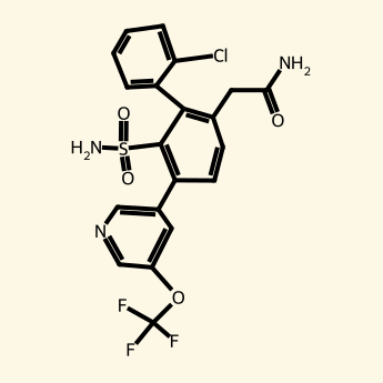 NC(=O)Cc1ccc(-c2cncc(OC(F)(F)F)c2)c(S(N)(=O)=O)c1-c1ccccc1Cl